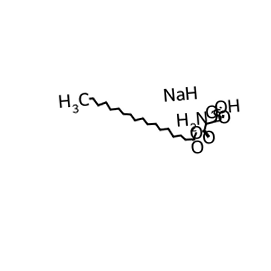 CCCCCCCCCCCCCCCCCC(=O)OC(=O)[C@H](N)CS(=O)(=O)O.[NaH]